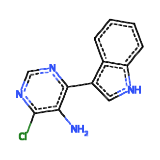 Nc1c(Cl)ncnc1-c1c[nH]c2ccccc12